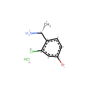 C[C@@H](N)c1ccc(Br)cc1Cl.Cl